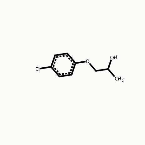 [CH2]C(O)COc1ccc(Cl)cc1